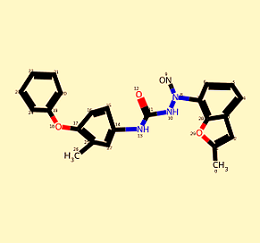 Cc1cc2cccc(N(N=O)NC(=O)Nc3ccc(Oc4ccccc4)c(C)c3)c2o1